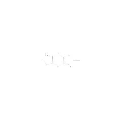 CC1Cc2cc3c(cc2=N1)C=CN=3